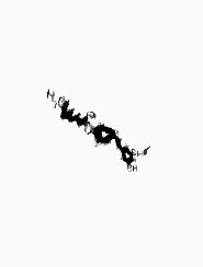 CCCCCCCC(=O)Oc1ccc(C=Cc2cc(O)cc(O)c2)cc1